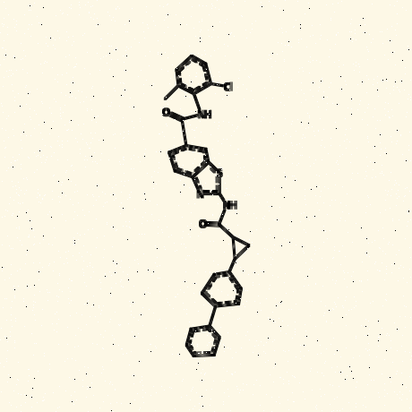 Cc1cccc(Cl)c1NC(=O)c1ccc2nc(NC(=O)C3CC3c3ccc(-c4ccccc4)cc3)sc2c1